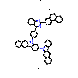 c1ccc2cc3c(cc2c1)c1ccccc1n3-c1ccc2c3cc4ccccc4cc3n(-c3ccc(-c4nc(-c5ccc6c(ccc7ccccc76)c5)nc5ccccc45)cc3)c2c1